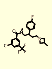 CC1CN(CCC(CN(C)C(=O)c2cc(Cl)cc(C(F)(F)F)c2)c2ccc(F)cc2)C1